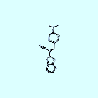 CN(C)c1ccc(C=C(C#N)c2nc3ccccc3s2)cc1